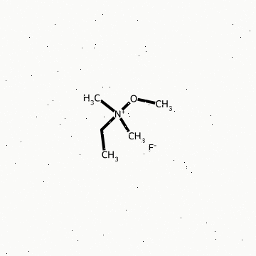 CC[N+](C)(C)OC.[F-]